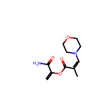 C=C(OC(=O)C(C)=CN1CCOCC1)C(N)=O